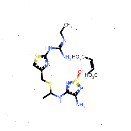 CC(Nc1n[s+]([O-])nc1N)SCc1csc(N/C(N)=N\CC(F)(F)F)n1.O=C(O)/C=C\C(=O)O